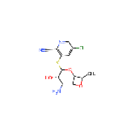 CC1OCC1OC(Sc1cc(Cl)cnc1C#N)[C@@H](O)CN